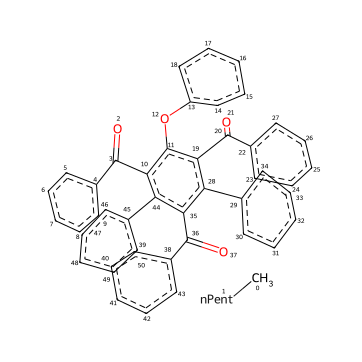 CCCCCC.O=C(c1ccccc1)c1c(Oc2ccccc2)c(C(=O)c2ccccc2)c(-c2ccccc2)c(C(=O)c2ccccc2)c1-c1ccccc1